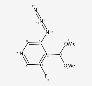 COC(OC)c1c(F)cncc1N=[N+]=[N-]